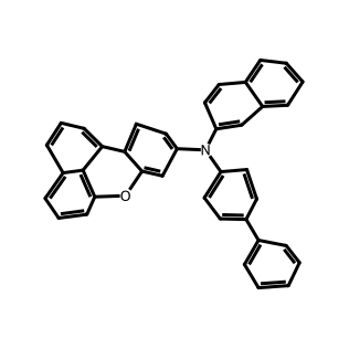 c1ccc(-c2ccc(N(c3ccc4c(c3)Oc3cccc5cccc-4c35)c3ccc4ccccc4c3)cc2)cc1